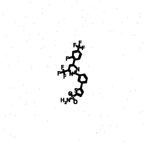 NS(=O)(=O)c1ccc(-c2cccc(-c3nc(-c4ccc(C(F)(F)F)cc4F)cc(C(F)(F)F)n3)c2)s1